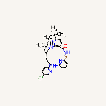 CC(C)(C)c1ccc2c(n1)N1CC(CCC(c3ccc(Cl)cn3)Nc3cccc(n3)SNC2=O)CC1(C)C